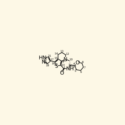 O=C1N[C@@H]([C@@H]2CCCCO2)CN2CCCc3c(-c4cn[nH]c4)sc1c32